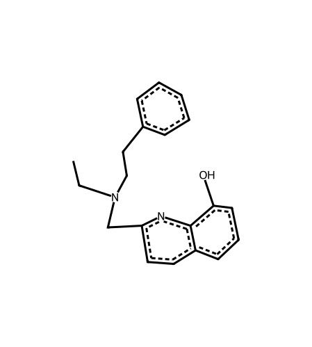 CCN(CCc1ccccc1)Cc1ccc2cccc(O)c2n1